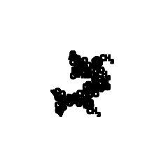 CCCCC(C)(CC(O)Cn1c(=O)n(CC2CO2)c(=O)n(CC2CO2)c1=O)OC(=O)C1CC(C)CCC1C(=O)OCC(O)CN1C(=O)N(CC2CO2)C(O)N(CC(O)C(C)(CCCC)OC(=O)C2CC(C)CCC2C(=O)OCC(O)Cn2c(=O)n(CC3CO3)c(=O)n(CC3CO3)c2=O)C1=O